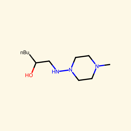 CCCCC(O)CNN1CCN(C)CC1